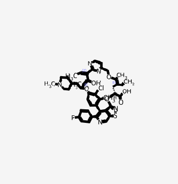 C=C/C(C[C@@H](Oc1nsc2cnc(-c3ccc(F)cc3)c(-c3ccc(OCCC4CCN(C)CC4)c(Cl)c3C)c12)C(=O)O)=C(\C)OCc1ccnc(C(=C/C)/C(O)=C\C)n1